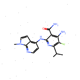 CC(C)c1nc(Nc2ccnc3c2ccn3C)c(C(N)=O)c(N)c1F